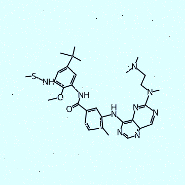 COc1c(NSC)cc(C(C)(C)C)cc1NC(=O)c1ccc(C)c(Nc2ncnc3cnc(N(C)CCN(C)C)nc23)c1